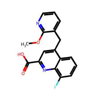 COc1ncccc1Cc1cc(C(=O)O)nc2c(F)cccc12